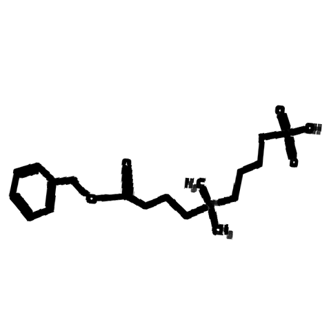 C[N+](C)(CCCCS(=O)(=O)O)CCCC(=O)OCc1ccccc1